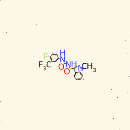 Cn1cc(C(=O)NC(=O)Nc2ccc(F)c(C(F)(F)F)c2)c2cc[c]cc21